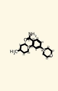 CC1CCN(c2cc(N3CCOCC3)ccc2C(N)=O)CC1